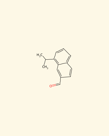 CC(C)c1cccc2ccc(C=O)cc12